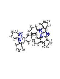 c1ccc(-n2c(-c3ccc(-c4ccc5c6ccccc6c6nc7c8ccccc8n(-c8ccccc8)c7n6c5c4)cc3)nc3ccccc32)cc1